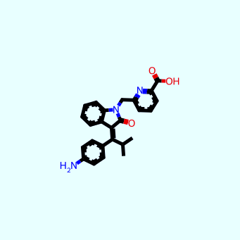 CC(C)/C(=C1\C(=O)N(Cc2cccc(C(=O)O)n2)c2ccccc21)c1ccc(N)cc1